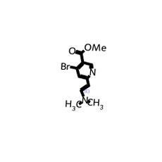 COC(=O)c1cnc(/C=C/N(C)C)cc1Br